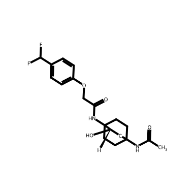 CC(=O)NC12CCC(NC(=O)COc3ccc(C(F)F)cc3)(CC1)[C@@H](O)C2